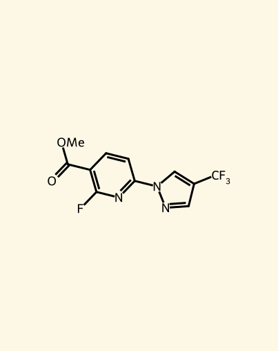 COC(=O)c1ccc(-n2cc(C(F)(F)F)cn2)nc1F